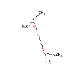 CCCCCC(CCC)COCCCCCCCCCCOCC(CCC)CCCCC